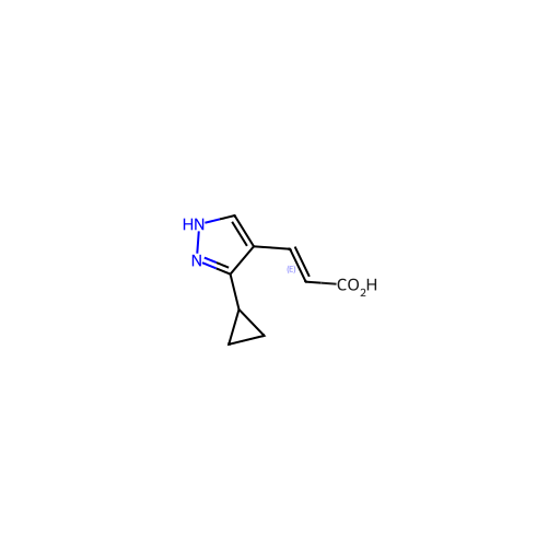 O=C(O)/C=C/c1c[nH]nc1C1CC1